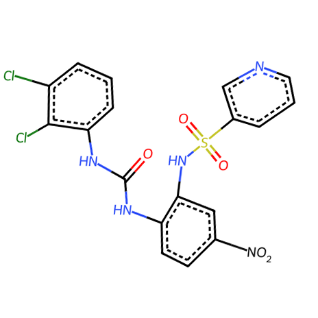 O=C(Nc1ccc([N+](=O)[O-])cc1NS(=O)(=O)c1cccnc1)Nc1cccc(Cl)c1Cl